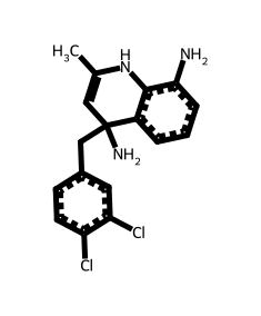 CC1=CC(N)(Cc2ccc(Cl)c(Cl)c2)c2cccc(N)c2N1